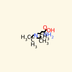 CC(C)CN(CCC[C@H](N)C(=O)O)CC(C)C